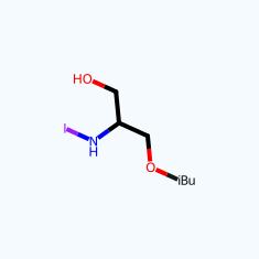 CCC(C)OCC(CO)NI